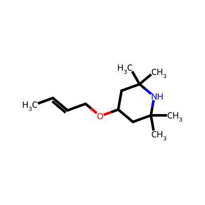 CC=CCOC1CC(C)(C)NC(C)(C)C1